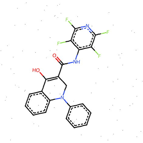 O=C(Nc1c(F)c(F)nc(F)c1F)C1=C(O)c2ccccc2N(c2ccccc2)C1